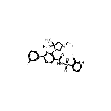 C[C@@H]1CN(c2nc(-c3cccc(F)c3)ccc2C(=O)NS(=O)(=O)c2ccc[nH]c2=O)C(C)(C)C1